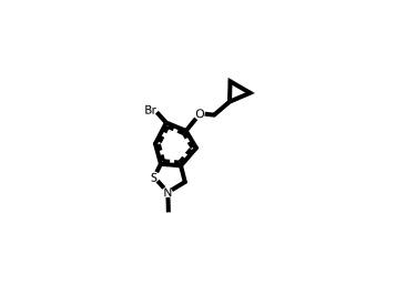 CN1Cc2cc(OCC3CC3)c(Br)cc2S1